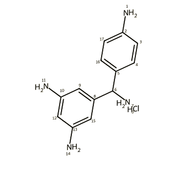 Cl.Nc1ccc(C(N)c2cc(N)cc(N)c2)cc1